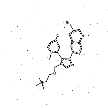 C[Si](C)(C)CCOCn1cnc(-c2ccc3ncc(Br)cc3c2)c1-c1cc(Cl)ccc1F